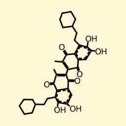 CC1=C(C2=C(C)C(=O)c3c(cc(O)c(O)c3CCC3CCCCC3)C2=O)C(=O)c2cc(O)c(O)c(CCC3CCCCC3)c2C1=O